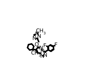 Cn1cnc(COc2nn3c(-c4ccc(F)cc4F)nnc3cc2C2(C)CCCCC2)n1